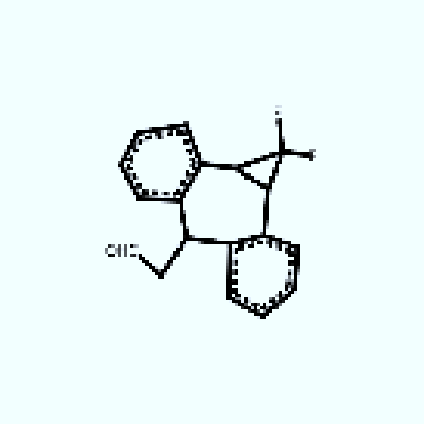 O=CCC1c2ccccc2C2C(c3ccccc31)C2(F)F